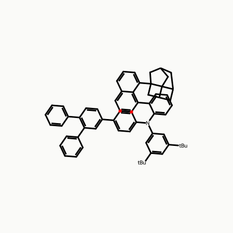 CC(C)(C)c1cc(N(c2ccc(-c3ccc(-c4ccccc4)c(-c4ccccc4)c3)cc2)c2ccccc2-c2cccc3cccc(C45CC6CC7CC(C4)C75C6)c23)cc(C(C)(C)C)c1